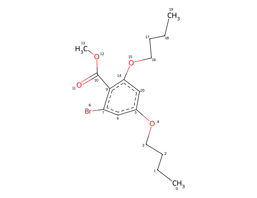 CCCCOc1cc(Br)c(C(=O)OC)c(OCCCC)c1